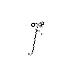 CCCCCCCCCCCCCCCC(=O)NCC[N+](C)(Cc1ccccc1)CN1CCCC1=O.[Cl-]